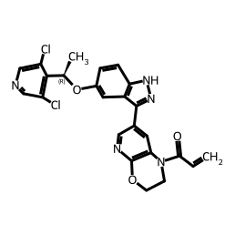 C=CC(=O)N1CCOc2ncc(-c3n[nH]c4ccc(O[C@H](C)c5c(Cl)cncc5Cl)cc34)cc21